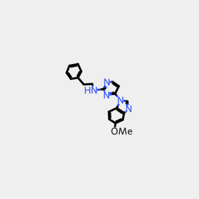 COc1ccc2c(c1)ncn2-c1ccnc(NCCc2ccccc2)n1